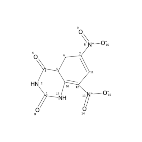 O=C1NC(=O)C2CC([N+](=O)[O-])=CC([N+](=O)[O-])=C2N1